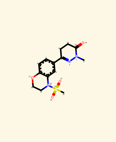 CN1N=C(c2ccc3c(c2)N(S(C)(=O)=O)CCO3)CCC1=O